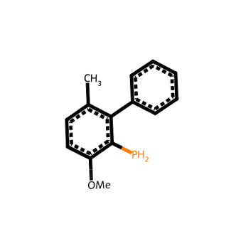 COc1ccc(C)c(-c2ccccc2)c1P